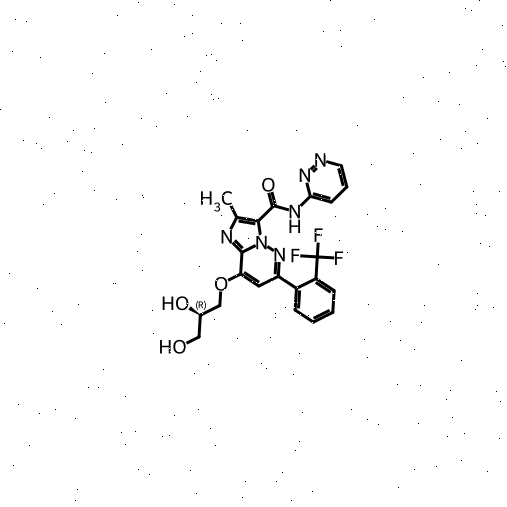 Cc1nc2c(OC[C@H](O)CO)cc(-c3ccccc3C(F)(F)F)nn2c1C(=O)Nc1cccnn1